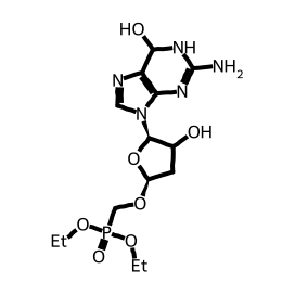 CCOP(=O)(CO[C@@H]1CC(O)[C@H](n2cnc3c2N=C(N)NC3O)O1)OCC